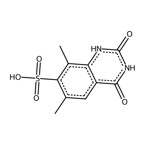 Cc1cc2c(=O)[nH]c(=O)[nH]c2c(C)c1S(=O)(=O)O